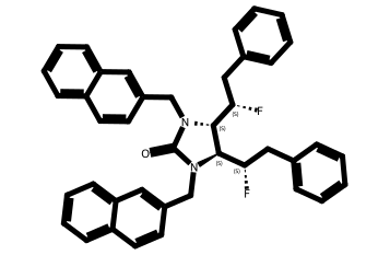 O=C1N(Cc2ccc3ccccc3c2)[C@H]([C@@H](F)Cc2ccccc2)[C@@H]([C@@H](F)Cc2ccccc2)N1Cc1ccc2ccccc2c1